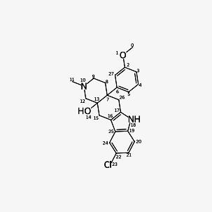 COc1cccc(C23CCN(C)CC2(O)Cc2c([nH]c4ccc(Cl)cc24)C3)c1